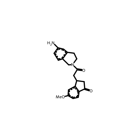 COc1ccc2c(c1)C(CC(=O)N1CCc3cc(N)ccc3C1)CC2=O